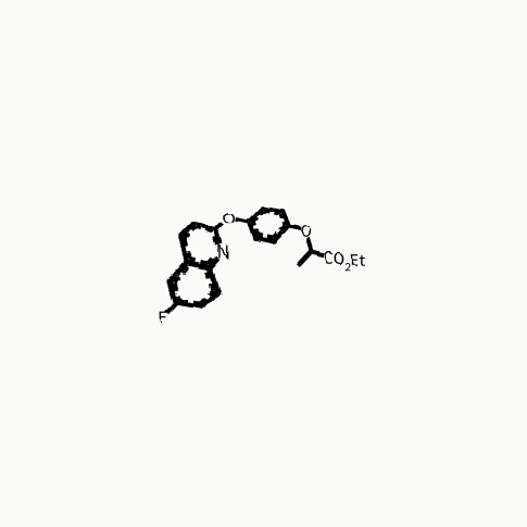 CCOC(=O)C(C)Oc1ccc(Oc2ccc3cc(F)ccc3n2)cc1